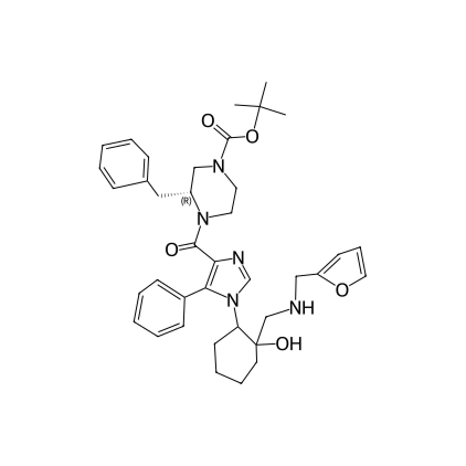 CC(C)(C)OC(=O)N1CCN(C(=O)c2ncn(C3CCCCC3(O)CNCc3ccco3)c2-c2ccccc2)[C@H](Cc2ccccc2)C1